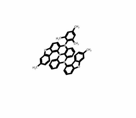 Cc1cc(C)c(B2c3cccc4c3N(c3ccccc3N4c3cccc4oc5cc(C)ccc5c34)c3c2ccc2oc4cc(C)ccc4c32)c(C)c1